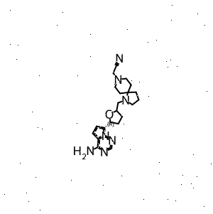 N#CCN1CCC2(CCCN2CC2CC[C@H](c3ccc4c(N)ncnn34)O2)CC1